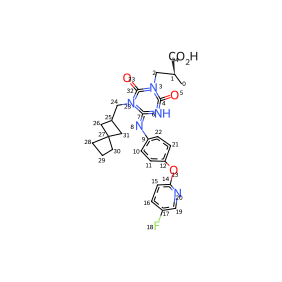 C[C@@H](Cn1c(=O)[nH]/c(=N\c2ccc(Oc3ccc(F)cn3)cc2)n(CC2CC3(CCC3)C2)c1=O)C(=O)O